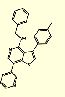 Cc1ccc(-c2csc3c(-c4cccnc4)cnc(NCc4ccccc4)c23)cc1